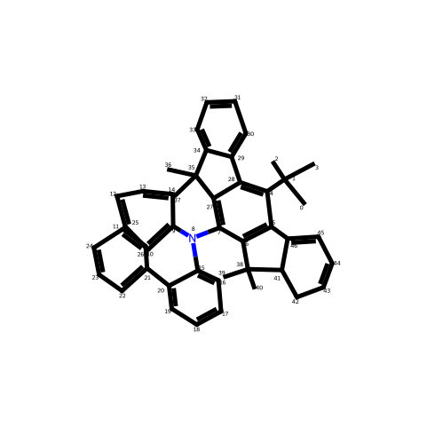 CC(C)(C)c1c2c(c(N(c3ccccc3)c3ccccc3-c3ccccc3)c3c1-c1ccccc1C3(C)C)C(C)(C)C1CC=CC=C21